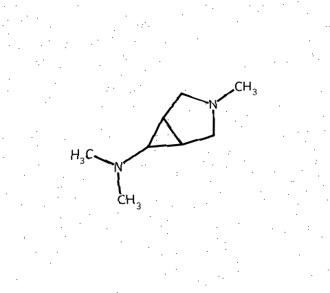 CN1CC2C(C1)C2N(C)C